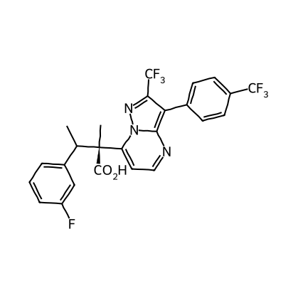 CC(c1cccc(F)c1)[C@@](C)(C(=O)O)c1ccnc2c(-c3ccc(C(F)(F)F)cc3)c(C(F)(F)F)nn12